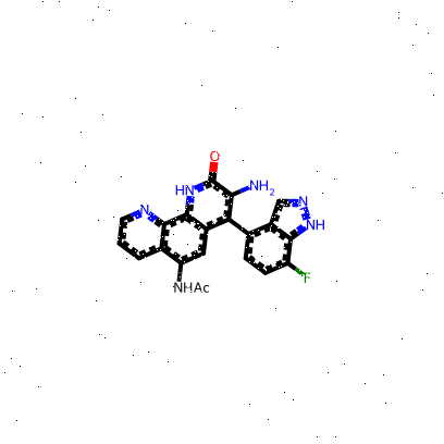 CC(=O)Nc1cc2c(-c3ccc(F)c4[nH]ncc34)c(N)c(=O)[nH]c2c2ncccc12